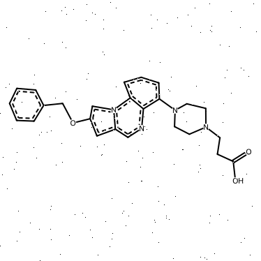 O=C(O)CCN1CCN(c2cccc3c2ncc2cc(OCc4ccccc4)cn23)CC1